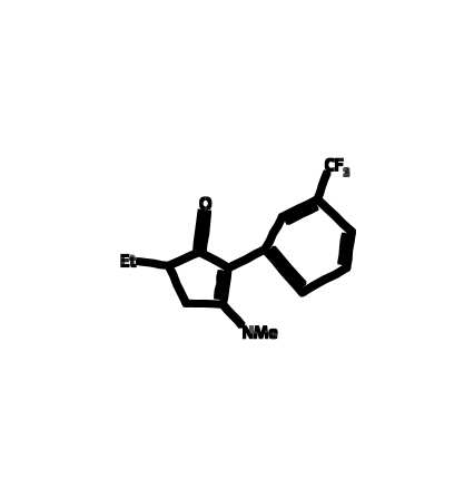 CCC1CC(NC)=C(c2cccc(C(F)(F)F)c2)C1=O